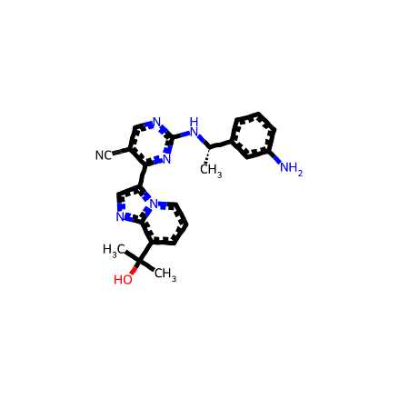 C[C@H](Nc1ncc(C#N)c(-c2cnc3c(C(C)(C)O)cccn23)n1)c1cccc(N)c1